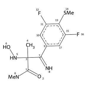 CNC(=O)C(C)(NO)C(=N)c1cc(F)c(SC)c(F)c1